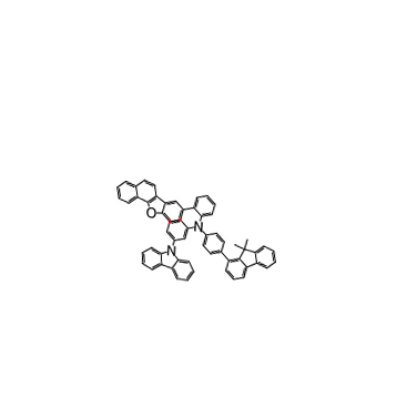 CC1(C)c2ccccc2-c2cccc(-c3ccc(N(c4cccc(-n5c6ccccc6c6ccccc65)c4)c4ccccc4-c4ccc5oc6c7ccccc7ccc6c5c4)cc3)c21